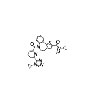 O=C(NC1CC1)c1cc2c(s1)-c1ccccc1N(C(=O)C1=CCCC(c3nncn3C3CC3)=N1)CC2